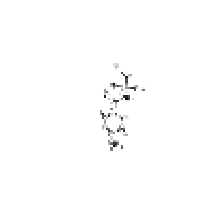 Nc1cnc(C(=O)NC(F)(F)CF)cn1